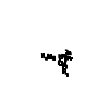 CCCC.CCCC.[MgH2].[Zn]